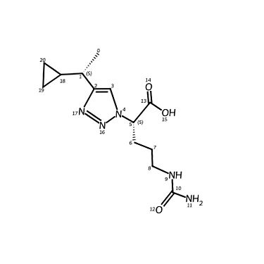 C[C@H](c1cn([C@@H](CCCNC(N)=O)C(=O)O)nn1)C1CC1